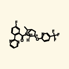 CC1C2C[C@@H](Oc3ccc(C(F)(F)F)cn3)[C@H](C2)N1C(=O)c1cc(F)ccc1-c1ncccn1